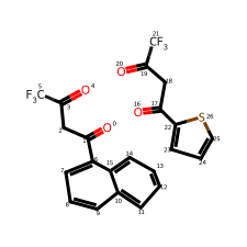 O=C(CC(=O)C(F)(F)F)c1cccc2ccccc12.O=C(CC(=O)C(F)(F)F)c1cccs1